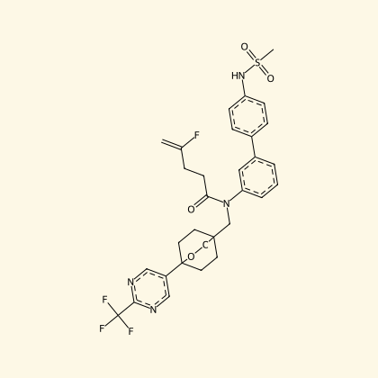 C=C(F)CCC(=O)N(CC12CCC(c3cnc(C(F)(F)F)nc3)(CC1)OC2)c1cccc(-c2ccc(NS(C)(=O)=O)cc2)c1